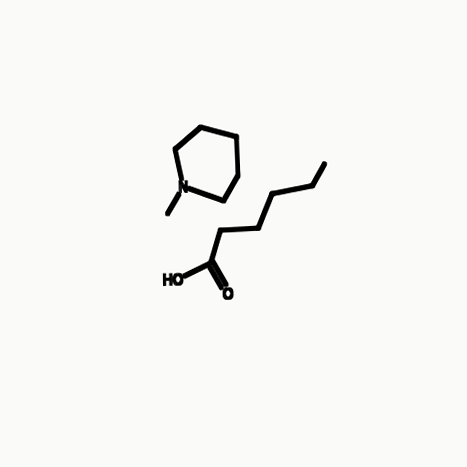 CCCCCC(=O)O.CN1CCCCC1